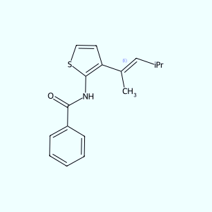 C/C(=C\C(C)C)c1ccsc1NC(=O)c1ccccc1